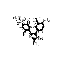 Cc1ccc(-c2[nH]c(C(F)(F)F)nc2-c2cc(F)c(S(C)(=O)=O)cc2F)cc1Cl